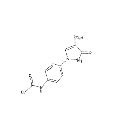 CCC(=O)Nc1ccc(-n2cc(C(=O)O)c(=O)[nH]2)cc1